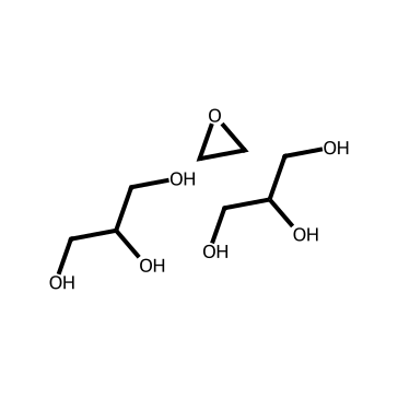 C1CO1.OCC(O)CO.OCC(O)CO